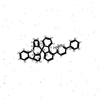 N=C(/C=C\C(=N)c1cccc2c1-c1ccccc1C21c2ccccc2-n2c3ccccc3c3cccc1c32)c1ccccc1